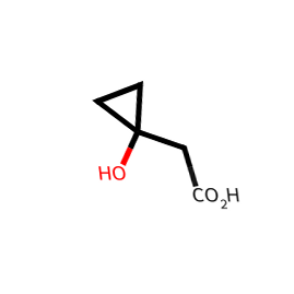 O=C(O)CC1(O)CC1